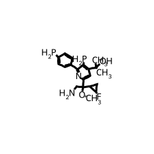 COC(CN)(c1cc(C(C)(C)O)c(P)c(-c2ccc(P)cc2)n1)C1CC1F